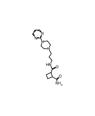 NC(=O)C1CCC1C(=O)NCCCN1CCN(c2ncccn2)CC1